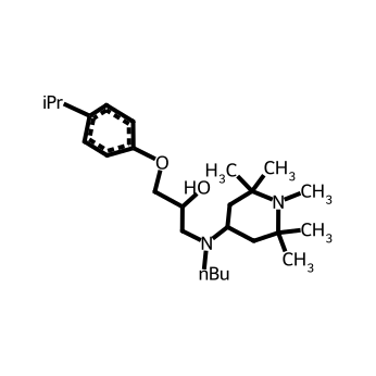 CCCCN(CC(O)COc1ccc(C(C)C)cc1)C1CC(C)(C)N(C)C(C)(C)C1